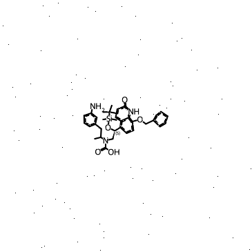 CC(Cc1cccc(N)c1)N(C[C@@H](O[Si](C)(C)C(C)(C)C)c1ccc(OCc2ccccc2)c2[nH]c(=O)ccc12)C(=O)O